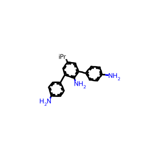 CC(C)c1cc(-c2ccc(N)cc2)c(N)c(-c2ccc(N)cc2)c1